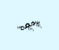 CC(=O)NC1CCN(Cc2cccc(CN3CCNCC3)c2C)C1